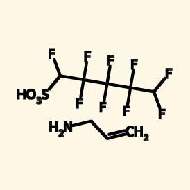 C=CCN.O=S(=O)(O)C(F)C(F)(F)C(F)(F)C(F)(F)C(F)F